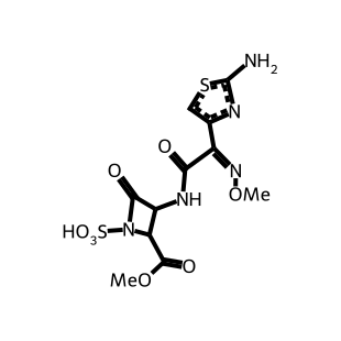 CON=C(C(=O)NC1C(=O)N(S(=O)(=O)O)C1C(=O)OC)c1csc(N)n1